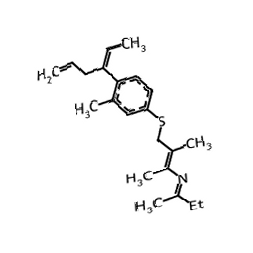 C=CC/C(=C/C)c1ccc(SC/C(C)=C(C)/N=C(\C)CC)cc1C